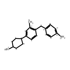 CCCC1CCC(c2ccc(Cc3ccc(N)cc3)c(C)c2)CC1